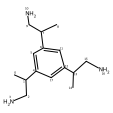 CC(CN)c1cc(C(C)CN)cc(C(C)CN)c1